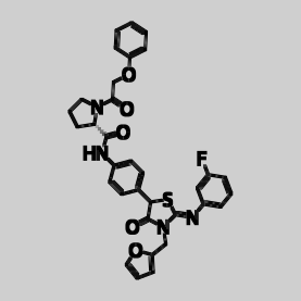 O=C(Nc1ccc(C2S/C(=N\c3cccc(F)c3)N(Cc3ccco3)C2=O)cc1)[C@@H]1CCCN1C(=O)COc1ccccc1